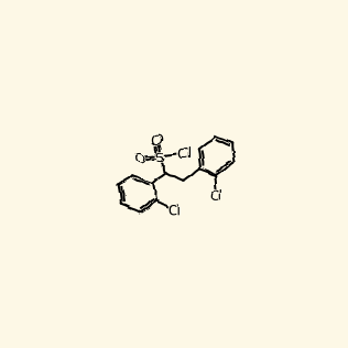 O=S(=O)(Cl)C(Cc1ccccc1Cl)c1ccccc1Cl